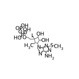 CSc1nc(N)c2ncn(C3[C@@H](C)[C@](I)(CCOP(=O)(O)OP(=O)(O)O)[C@@H](O)[C@H]3O)c2n1